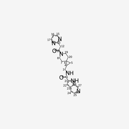 O=C(NCC1CC12CCN(C(=O)Cc1ncccn1)CC2)c1cc2ccncc2[nH]1